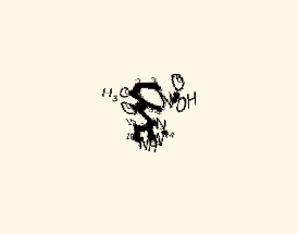 CC1CCN(C(=O)O)CC1C(=O)c1ncnc2[nH]ccc12